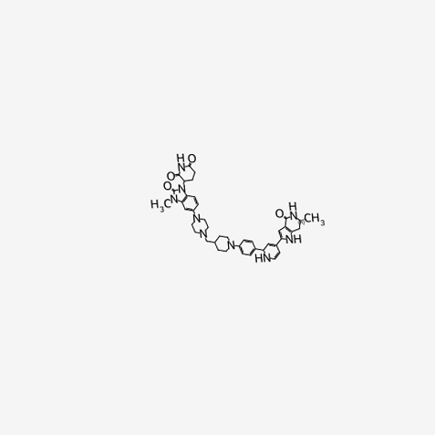 C[C@@H]1Cc2[nH]c(C3=CC(c4ccc(N5CCC(CN6CCN(c7ccc8c(c7)n(C)c(=O)n8C7CCC(=O)NC7=O)CC6)CC5)cc4)NC=C3)cc2C(=O)N1